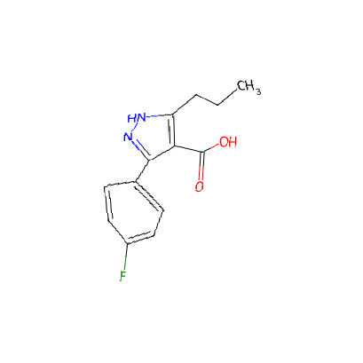 CCCc1[nH]nc(-c2ccc(F)cc2)c1C(=O)O